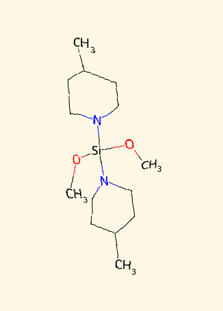 CO[Si](OC)(N1CCC(C)CC1)N1CCC(C)CC1